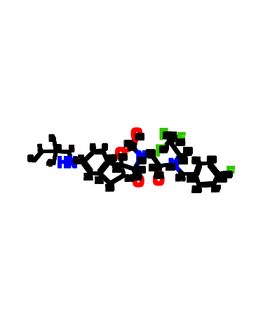 CCC(C)(C)CNc1ccc2c(c1)CC[C@@]21OC(=O)N(CC(=O)N(Cc2ccc(F)cc2)C(C)C(F)(F)F)C1=O